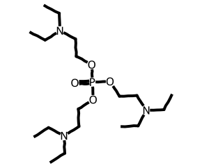 CCN(CC)CCOP(=O)(OCCN(CC)CC)OCCN(CC)CC